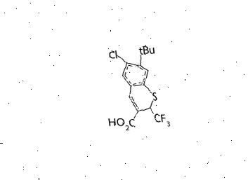 CC(C)(C)c1cc2c(cc1Cl)C=C(C(=O)O)C(C(F)(F)F)S2